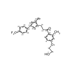 Cc1cc(OCCO)ccc1C(=O)CCc1sc(-c2ccc(C(F)(F)F)cc2)nc1C(C)C